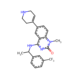 CC(Nc1nc(=O)n(C)c2ccc(C3=CCNCC3)cc12)c1cccc(C(F)(F)F)c1